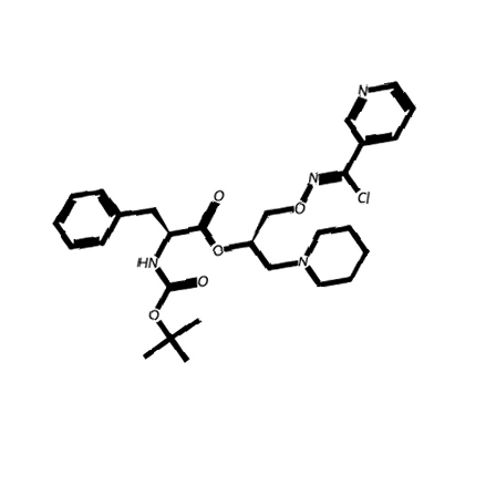 CC(C)(C)OC(=O)N[C@@H](Cc1ccccc1)C(=O)O[C@@H](CON=C(Cl)c1cccnc1)CN1CCCCC1